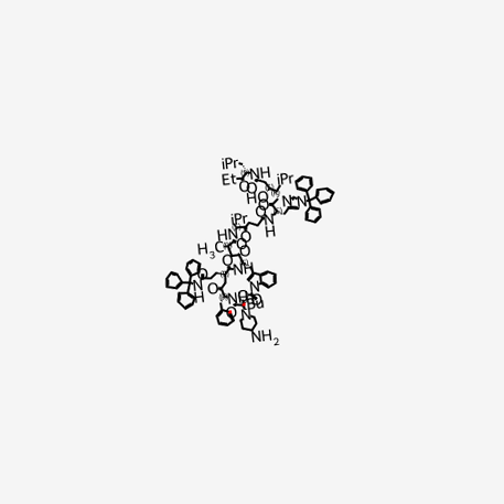 CCC(=O)[C@H](CC(C)C)NC(=O)C[C@H](O)[C@@H](CC(=O)[C@H](Cc1cn(C(c2ccccc2)(c2ccccc2)c2ccccc2)cn1)NC(=O)CCC(=O)[C@@H](NC(=O)[C@H](C)CC(=O)[C@H](Cc1cn(C(=O)OC(C)(C)C)c2ccccc12)NC(=O)[C@H](CCC(=O)NC(c1ccccc1)(c1ccccc1)c1ccccc1)CC(=O)[C@@H](Cc1ccccc1)NC(=O)CN1CCC(N)CC1)C(C)C)CC(C)C